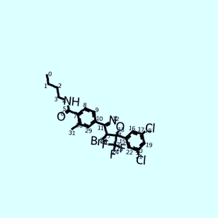 CCCCNC(=O)c1ccc(C2=NOC(c3cc(Cl)cc(Cl)c3)(C(F)(F)F)C2Br)cc1C